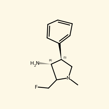 CN1C[C@H](c2ccccc2)[C@@H](N)C1CF